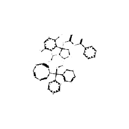 C=C(NC(=O)c1ccccc1)N[C@@]1(c2cc(Br)ccc2F)CO[C@H](COC(C2=CC=CCC2)(c2ccccc2)C2C#CC/C=C\C=C/2)[C@H]1CO